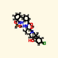 CC(C)[C@@H](NC(=O)c1cccc(-c2ccccc2NS(C)(=O)=O)c1)C(=O)N1CC[C@](O)(c2ccc(Cl)cc2)C(C)(C)C1